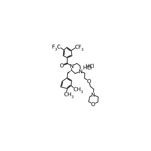 Cc1ccc(C[C@@H]2CN(CCOCCN3CCOCC3)CCN2C(=O)c2cc(C(F)(F)F)cc(C(F)(F)F)c2)cc1C.Cl.Cl